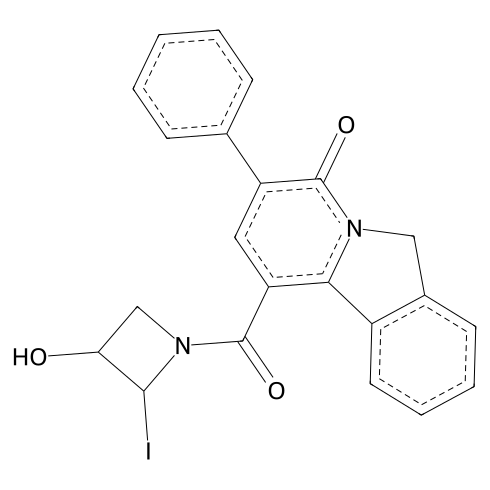 O=C(c1cc(-c2ccccc2)c(=O)n2c1-c1ccccc1C2)N1CC(O)C1I